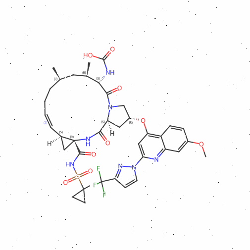 COc1ccc2c(O[C@@H]3C[C@H]4C(=O)N[C@]5(C(=O)NS(=O)(=O)C6(C)CC6)C[C@H]5/C=C\CC[C@@H](C)C[C@@H](C)[C@H](NC(=O)O)C(=O)N4C3)cc(-n3ccc(C(F)(F)F)n3)nc2c1